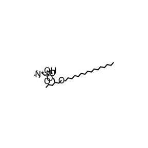 CCCCCCCCCCCCCCCCOCC(COP(=O)(O)CC[N+](C)(C)C)CC(C)=O